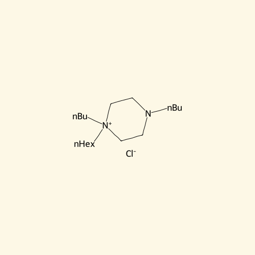 CCCCCC[N+]1(CCCC)CCN(CCCC)CC1.[Cl-]